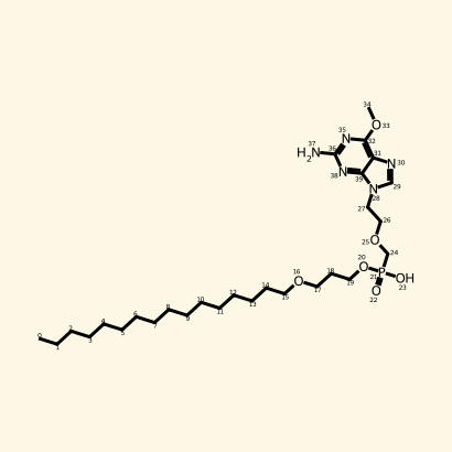 CCCCCCCCCCCCCCCCOCCCOP(=O)(O)COCCn1cnc2c(OC)nc(N)nc21